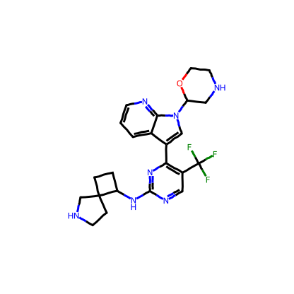 FC(F)(F)c1cnc(NC2CCC23CCNC3)nc1-c1cn(C2CNCCO2)c2ncccc12